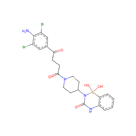 Nc1c(Br)cc(C(=O)CCC(=O)N2CCC(N3C(=O)Nc4ccccc4S3(O)O)CC2)cc1Br